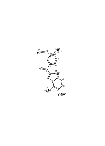 COC1=C(N)C2C=C(C(=O)c3ccc(N)c(C=N)c3)NC2C=C1